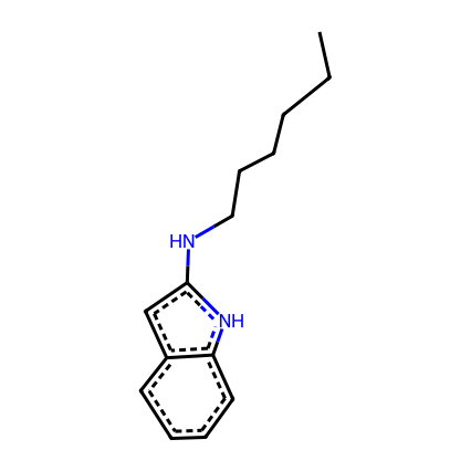 CCCCCCNc1cc2ccccc2[nH]1